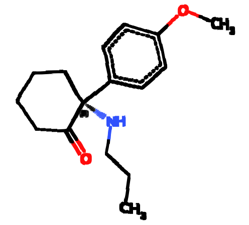 CCCN[C@@]1(c2ccc(OC)cc2)CCCCC1=O